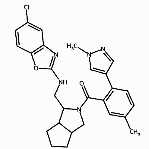 Cc1ccc(-c2cnn(C)c2)c(C(=O)N2CC3CCCC3C2CNc2nc3cc(Cl)ccc3o2)c1